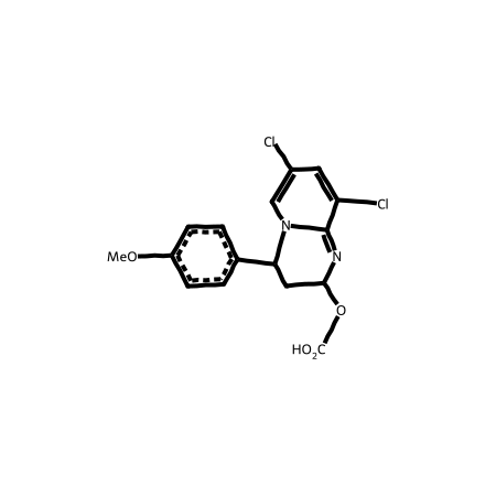 COc1ccc(C2CC(OC(=O)O)N=C3C(Cl)=CC(Cl)=CN32)cc1